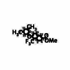 COC(=O)c1ccc2c(C(F)(F)F)c(OC3CC(C)CC(C)C3)ccc2c1